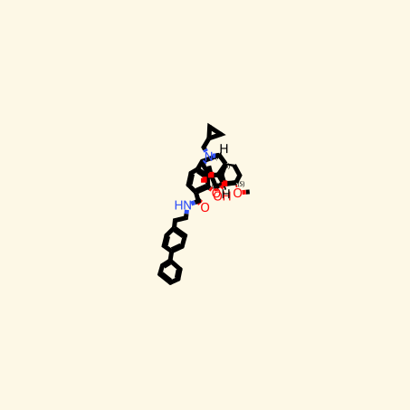 CO[C@@]12CC[C@@]3(C[C@@H]1[C@@](C)(O)C(C)(C)C)[C@H]1Cc4ccc(C(=O)NCCc5ccc(-c6ccccc6)cc5)c5c4[C@@]3(CCN1CC1CC1)C2O5